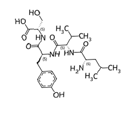 CC(C)C[C@H](N)C(=O)N[C@H](C(=O)N[C@@H](Cc1ccc(O)cc1)C(=O)N[C@@H](CO)C(=O)O)C(C)C